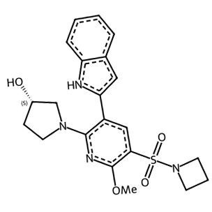 COc1nc(N2CC[C@H](O)C2)c(-c2cc3ccccc3[nH]2)cc1S(=O)(=O)N1CCC1